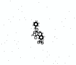 COC(=O)C1c2cc([N+](=O)[O-])ccc2CCN1C(=O)OCc1ccccc1